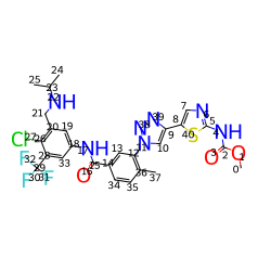 COC(=O)Nc1ncc(-c2cn(-c3cc(C(=O)Nc4cc(CNC(C)C)c(Cl)c(C(F)(F)F)c4)ccc3C)nn2)s1